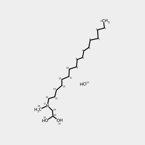 CCCCCCCCCCCCCCCCCN(C)CC(O)O.Cl